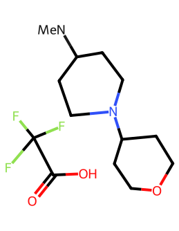 CNC1CCN(C2CCOCC2)CC1.O=C(O)C(F)(F)F